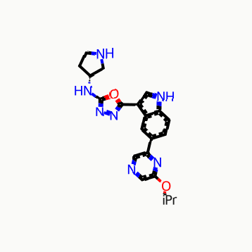 CC(C)Oc1cncc(-c2ccc3[nH]cc(-c4nnc(N[C@@H]5CCNC5)o4)c3c2)n1